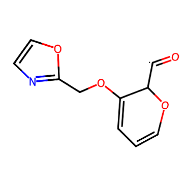 O=[C]C1OC=CC=C1OCc1ncco1